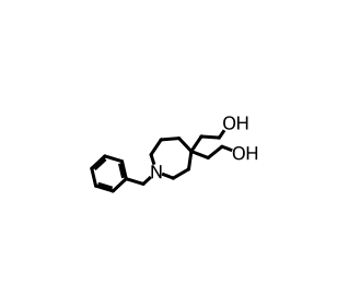 OCCC1(CCO)CCCN(Cc2ccccc2)CC1